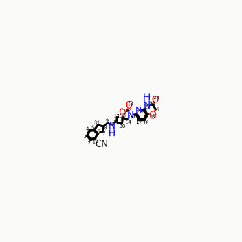 N#Cc1cccc2c1CC(CN[C@H]1C[C@]3(CN(c4ccc5c(n4)NC(=O)CO5)C(=O)O3)C1)C2